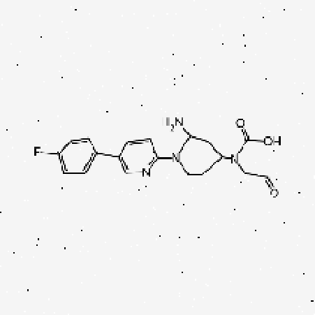 NC1CC(N(CC=O)C(=O)O)CCN1c1ccc(-c2ccc(F)cc2)cn1